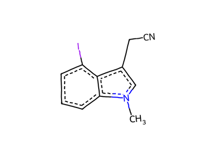 Cn1cc(CC#N)c2c(I)cccc21